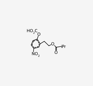 CC(C)C(=O)OCCc1cc([N+](=O)[O-])ccc1OC(=O)O